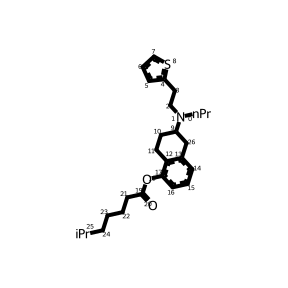 CCCN(CCc1cccs1)C1CCc2c(cccc2OC(=O)CCCCC(C)C)C1